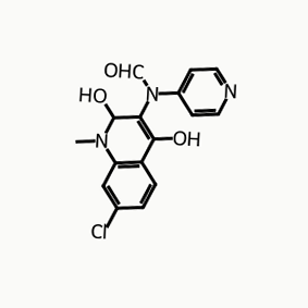 CN1c2cc(Cl)ccc2C(O)=C(N(C=O)c2ccncc2)C1O